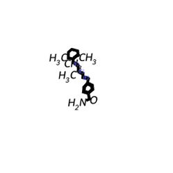 CC1=C(/C=C/C(C)=C/C=C/c2ccc(C(N)=O)cc2)C(C)(C)CCC1